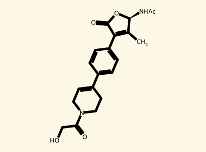 CC(=O)N[C@@H]1OC(=O)C(c2ccc(C3=CCN(C(=O)CO)CC3)cc2)=C1C